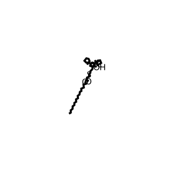 CCCCCCCCCCCCCCCCCCOC(=O)CCSCCCc1cc(C2(C)CCCCC2)cc(C2(C)CCCCC2)c1O